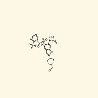 CC(C)(O)c1cc2nn([C@H]3CC[C@H](C=O)CC3)cc2cc1NC(=O)c1cncnc1C(F)(F)F